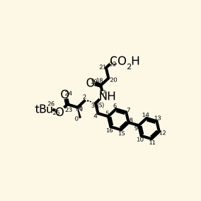 C[C@H](C[C@@H](Cc1ccc(-c2ccccc2)cc1)NC(=O)CCC(=O)O)C(=O)OC(C)(C)C